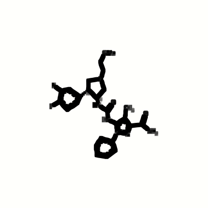 COCCN1C[C@@H](NC(=O)Nc2c(C)c(C(N)=O)nn2-c2ccccc2)[C@H](c2ccc(F)c(F)c2)C1